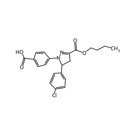 CCCCOC(=O)C1=NN(c2ccc(C(=O)O)cc2)C(c2ccc(Cl)cc2)C1